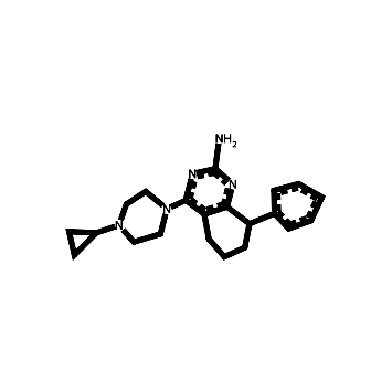 Nc1nc2c(c(N3CCN(C4CC4)CC3)n1)CCCC2c1ccccc1